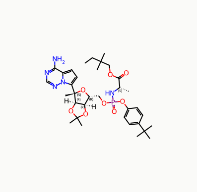 CCC(C)(C)COC(=O)[C@H](C)NP(=O)(OC[C@H]1O[C@@](C)(c2ccc3c(N)ncnn23)[C@@H]2OC(C)(C)O[C@@H]21)Oc1ccc(C(C)(C)C)cc1